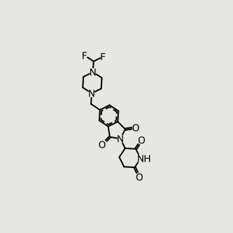 O=C1CCC(N2C(=O)c3ccc(CN4CCN(C(F)F)CC4)cc3C2=O)C(=O)N1